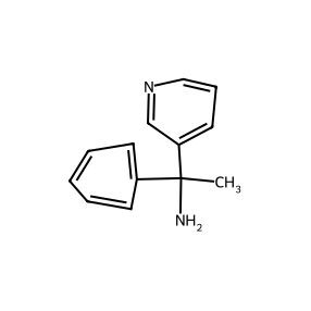 CC(N)(c1ccccc1)c1cccnc1